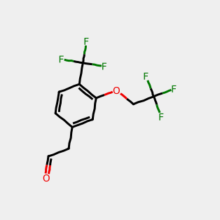 O=CCc1ccc(C(F)(F)F)c(OCC(F)(F)F)c1